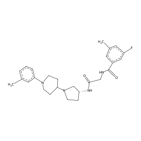 Cc1cc(F)cc(C(=O)NCC(=O)N[C@@H]2CCN(C3CCN(c4cccc(C)c4)CC3)C2)c1